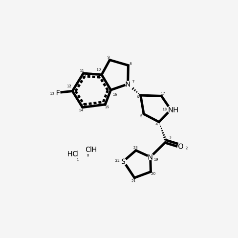 Cl.Cl.O=C([C@@H]1C[C@H](N2CCc3cc(F)ccc32)CN1)N1CCSC1